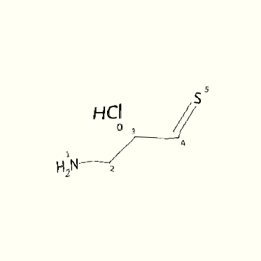 Cl.NCCC=S